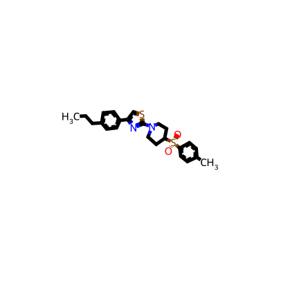 CCCc1ccc(-c2csc(N3CCC(S(=O)(=O)c4ccc(C)cc4)CC3)n2)cc1